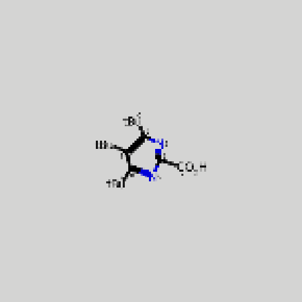 CC(C)(C)c1nc(C(=O)O)nc(C(C)(C)C)c1C(C)(C)C